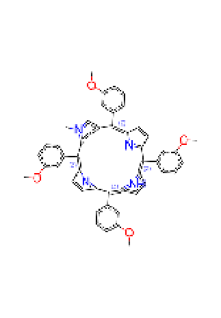 COc1cccc(/C2=C3\C=CC(=N3)/C(c3cccc(OC)c3)=c3/cc/c([nH]3)=C(\c3cccc(OC)c3)C3=N/C(=C(/c4cccc(OC)c4)c4cc2cn4C)C=C3)c1